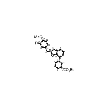 CCOC(=O)c1cccc(-c2cccc3cc(Cc4ccc(OC)c(F)c4)oc23)c1